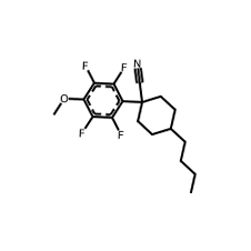 CCCCC1CCC(C#N)(c2c(F)c(F)c(OC)c(F)c2F)CC1